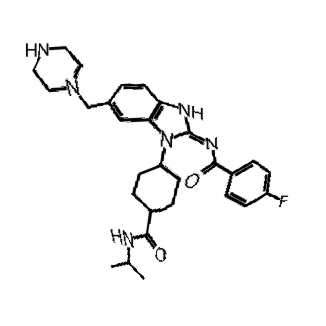 CC(C)NC(=O)C1CCC(n2/c(=N\C(=O)c3ccc(F)cc3)[nH]c3ccc(CN4CCNCC4)cc32)CC1